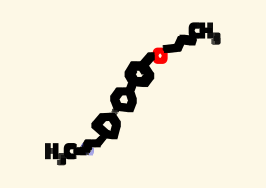 CC=CCCOCc1ccc(C2CCC([C@H]3CC[C@H](C/C=C/C)CC3)CC2)cc1